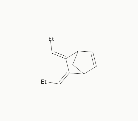 CCC=C1C(=CCC)C2C=CC1C2